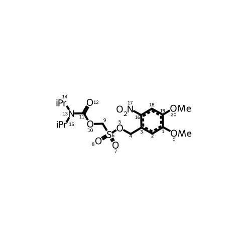 COc1cc(COS(=O)(=O)COC(=O)N(C(C)C)C(C)C)c([N+](=O)[O-])cc1OC